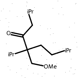 [CH2]C(C)CC(=O)C(CCC(C)C)(COC)C(C)C